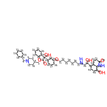 O=C(OCC1CCN(Cc2ccccc2)CC1)C(O)(c1ccccc1)c1cccc(OCCCCCCCNCC(O)c2ccc(O)c3[nH]c(=O)ccc23)c1